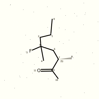 CCCC(C)(F)C[C@H](C)C(C)=O